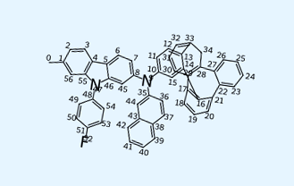 Cc1ccc2c3ccc(N(c4ccc5c(c4)-c4c6cccc4-c4ccccc4C4=C6C=CC=C5C4)c4ccc5ccccc5c4)cc3n(-c3ccc(F)cc3)c2c1